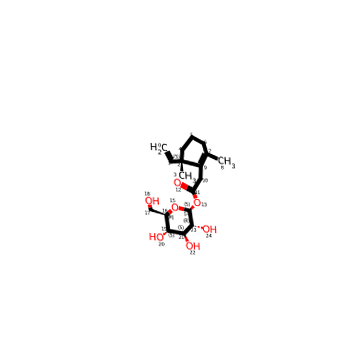 C=C[C@]1(C)CCCC(C)=C1CC(=O)O[C@@H]1O[C@H](CO)[C@@H](O)[C@H](O)[C@H]1O